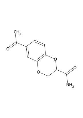 CC(=O)c1ccc2c(c1)OCC(C(N)=O)O2